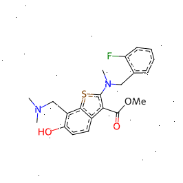 COC(=O)c1c(N(C)Cc2ccccc2F)sc2c(CN(C)C)c(O)ccc12